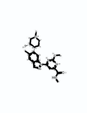 CNC(=O)c1cc(-n2ncc3cc(C)c([C@H]4CCN(C)C[C@H]4F)cc32)nc(OC)n1